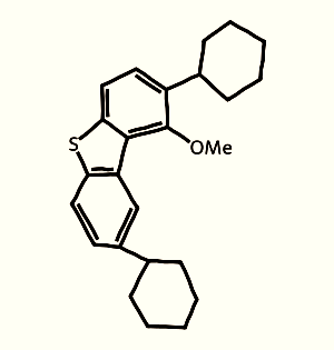 COc1c(C2CCCCC2)ccc2sc3ccc(C4CCCCC4)cc3c12